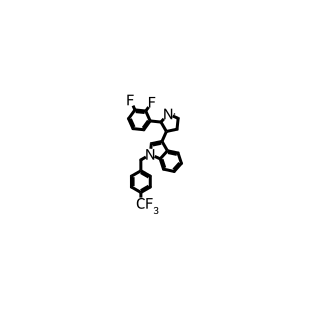 Fc1cccc(C2[N]CCC2c2cn(Cc3ccc(C(F)(F)F)cc3)c3ccccc23)c1F